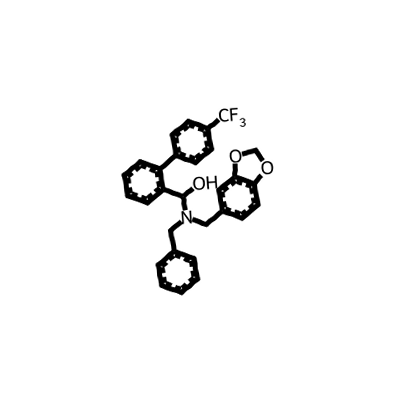 OC(c1ccccc1-c1ccc(C(F)(F)F)cc1)N(Cc1ccccc1)Cc1ccc2c(c1)OCO2